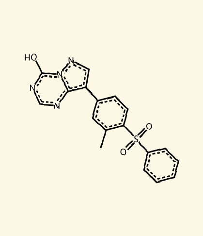 Cc1cc(-c2cnn3c(O)ncnc23)ccc1S(=O)(=O)c1ccccc1